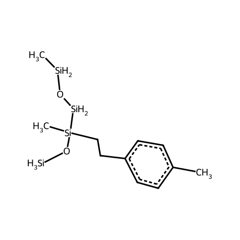 C[SiH2]O[SiH2][Si](C)(CCc1ccc(C)cc1)O[SiH3]